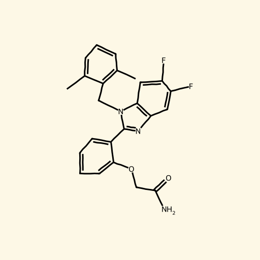 Cc1cccc(C)c1Cn1c(-c2ccccc2OCC(N)=O)nc2cc(F)c(F)cc21